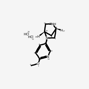 COc1ccc(N2C[C@@H]3C[C@H]2CN3)cn1.Cl.Cl